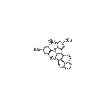 CC(C)(C)c1cc2c(c(C(C)(C)C)c1)B(c1c(C(C)(C)C)cc(C(C)(C)C)cc1C(C)(C)C)c1cc3ccc4cccc5ccc(c1-2)c3c45